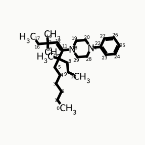 CCCCCCC(C)(CCC)/C(=C\C(C)(C)CC)N1CCN(c2ccccc2)CC1